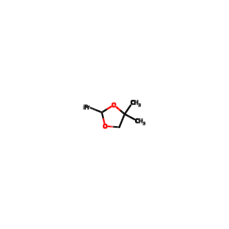 CC(C)C1OCC(C)(C)O1